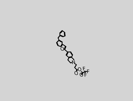 O=C(CCN1CCc2cc(-c3cc4cc(Cc5ccccc5)ccc4o3)ccc2C1)OC(=O)C(F)(F)F